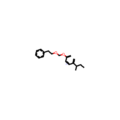 C=C(/C=C\C(=C)C(C)CC)OCOCCc1ccccc1